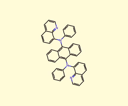 c1ccc(N(c2c3ccccc3c(N(c3ccccc3)c3cccc4cccnc34)c3ccccc23)c2cccc3cccnc23)cc1